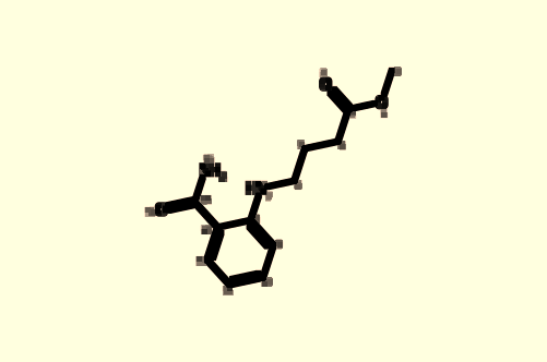 COC(=O)CCCNc1ccccc1C(N)=O